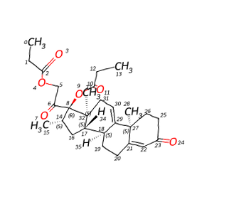 CCC(=O)OCC(=O)[C@@]1(OC(=O)CC)[C@@H](C)C[C@H]2[C@@H]3CCC4=CC(=O)CC[C@]4(C)C3=CC[C@@]21C